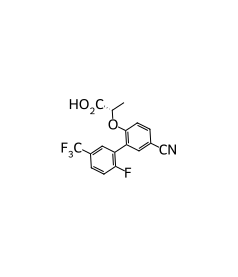 C[C@H](Oc1ccc(C#N)cc1-c1cc(C(F)(F)F)ccc1F)C(=O)O